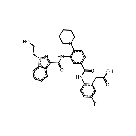 O=C(O)Cc1cc(F)ccc1NC(=O)c1ccc(N2CCCCC2)c(NC(=O)c2nn(CCO)c3ccccc23)c1